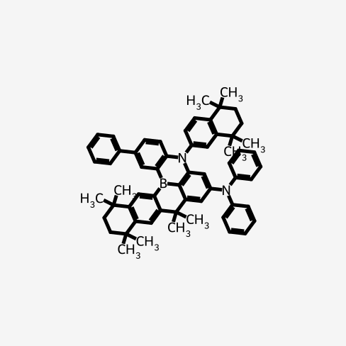 CC1(C)CCC(C)(C)c2cc(N3c4ccc(-c5ccccc5)cc4B4c5cc6c(cc5C(C)(C)c5cc(N(c7ccccc7)c7ccccc7)cc3c54)C(C)(C)CCC6(C)C)ccc21